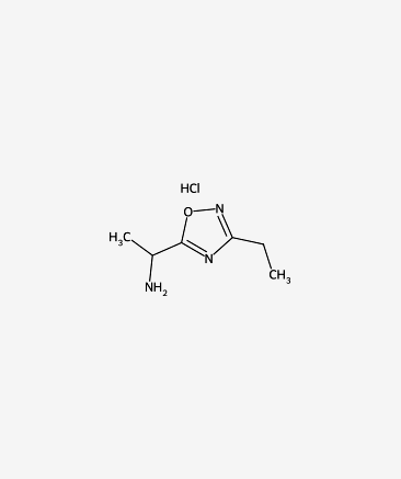 CCc1noc(C(C)N)n1.Cl